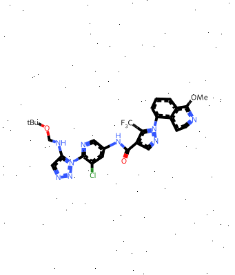 COc1nccc2c(-n3ncc(C(=O)Nc4cnc(-n5nncc5NCOC(C)(C)C)c(Cl)c4)c3C(F)(F)F)cccc12